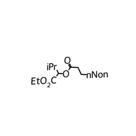 CCCCCCCCCCCC(=O)OC(C(=O)OCC)C(C)C